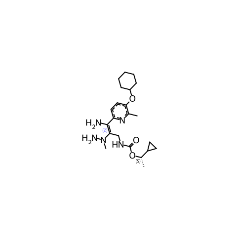 Cc1nc(/C(N)=C(\CNC(=O)O[C@@H](C)C2CC2)N(C)N)ccc1OC1CCCCC1